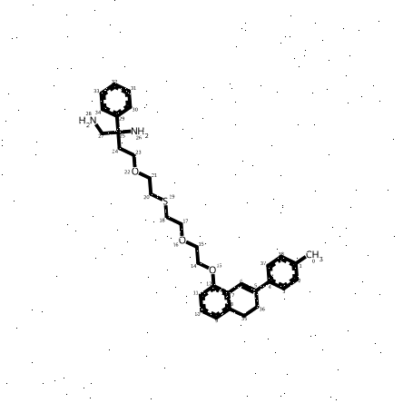 Cc1ccc(C2=Cc3c(cccc3OCCOCCSCCOCCC(N)(CN)c3ccccc3)CC2)cc1